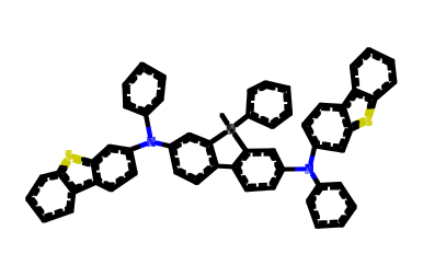 C[Si]1(c2ccccc2)c2cc(N(c3ccccc3)c3ccc4c(c3)sc3ccccc34)ccc2-c2ccc(N(c3ccccc3)c3ccc4c(c3)sc3ccccc34)cc21